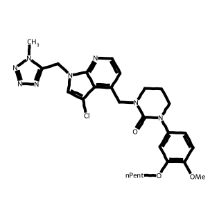 CCCCCOc1cc(N2CCCN(Cc3ccnc4c3c(Cl)cn4Cc3nnnn3C)C2=O)ccc1OC